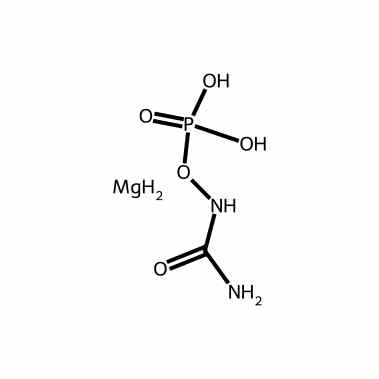 NC(=O)NOP(=O)(O)O.[MgH2]